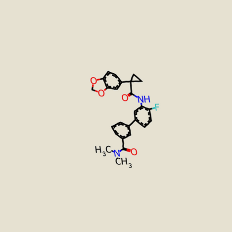 CN(C)C(=O)c1cccc(-c2ccc(F)c(NC(=O)C3(c4ccc5c(c4)OCO5)CC3)c2)c1